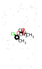 CCOC(=O)C(C)(C)Oc1cc(C)ccc1Cl